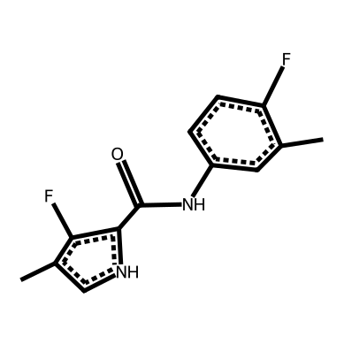 Cc1cc(NC(=O)c2[nH]cc(C)c2F)ccc1F